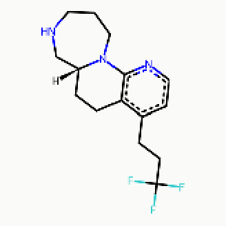 FC(F)(F)CCc1ccnc2c1CC[C@@H]1CNCCCN21